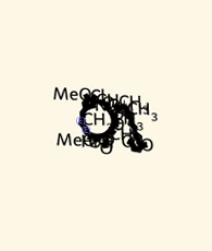 COc1cc2cc(c1Cl)N(C)C(=O)CC(OC(=O)[C@H](C)N(C)CCCCCCN1C(=O)C=CC1=O)C1(C)OC1C(C)C1CC(O)(NC(=O)O1)C(OC)/C=C/C=C(\C)C2